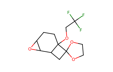 FC(F)(F)COC12CCC3OC3C1CC21OCCO1